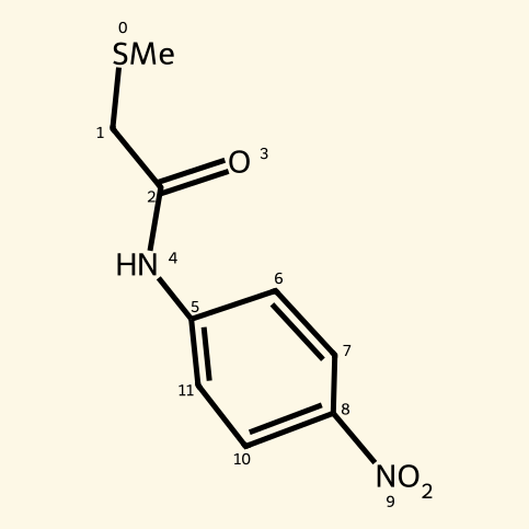 CSCC(=O)Nc1ccc([N+](=O)[O-])cc1